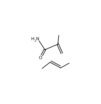 C=C(C)C(N)=O.CC=CC